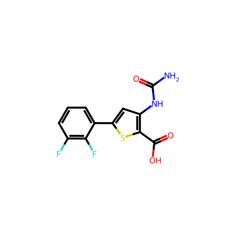 NC(=O)Nc1cc(-c2cccc(F)c2F)sc1C(=O)O